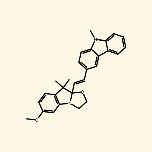 COc1ccc2c(c1)N1CCOC1(/C=C/c1ccc3c(c1)c1ccccc1n3C)C2(C)C